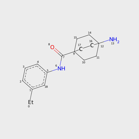 CCc1cccc(NC(=O)C23CCC(N)(CC2)CC3)c1